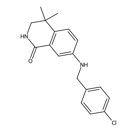 CC1(C)CNC(=O)c2cc(NCc3ccc(Cl)cc3)ccc21